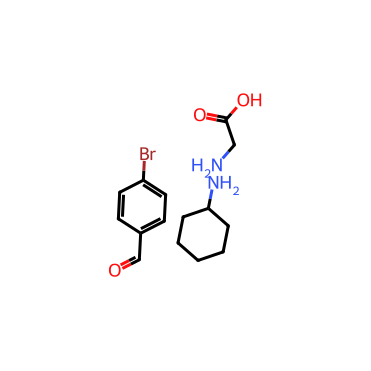 NC1CCCCC1.NCC(=O)O.O=Cc1ccc(Br)cc1